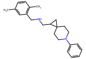 Cc1ccc(C)c(CNCC2CC23CCN(c2ccccc2)CC3)c1